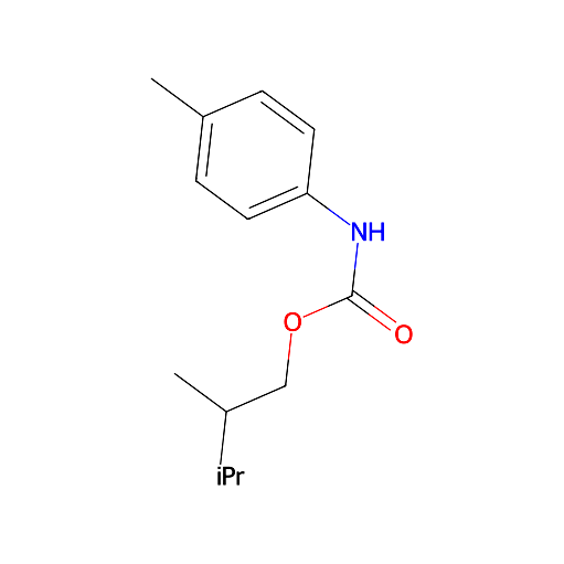 Cc1ccc(NC(=O)OCC(C)C(C)C)cc1